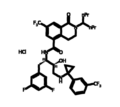 CCCC(CCC)N1CCc2c(C(=O)N[C@@H](Cc3cc(F)cc(F)c3)[C@H](O)CNC3(c4cccc(C(F)(F)F)c4)CC3)cc(C(F)(F)F)cc2C1=O.Cl